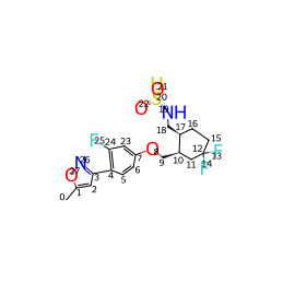 Cc1cc(-c2ccc(OC[C@@H]3CC(F)(F)CC[C@@H]3CN[SH](=O)=O)cc2F)no1